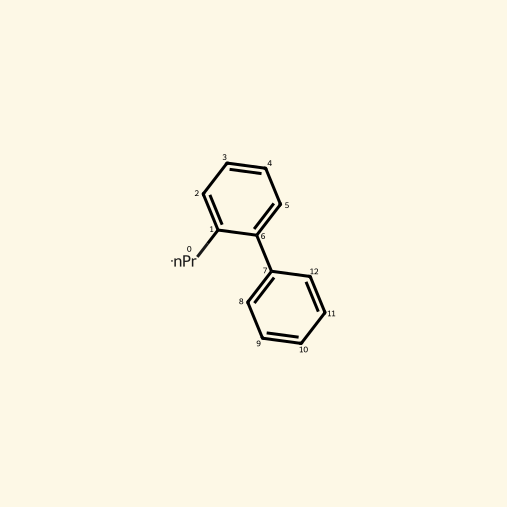 CC[CH]c1ccccc1-c1ccccc1